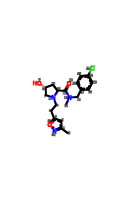 Cc1cc(CCN2C[C@H](O)C[C@H]2C(=O)N(C)Cc2ccc(Cl)cc2)on1